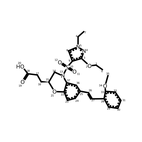 CCOc1nn(CC)cc1S(=O)(=O)N1C[C@H](CCC(=O)O)Oc2ccc(/C=C/c3ccccc3OC)cc21